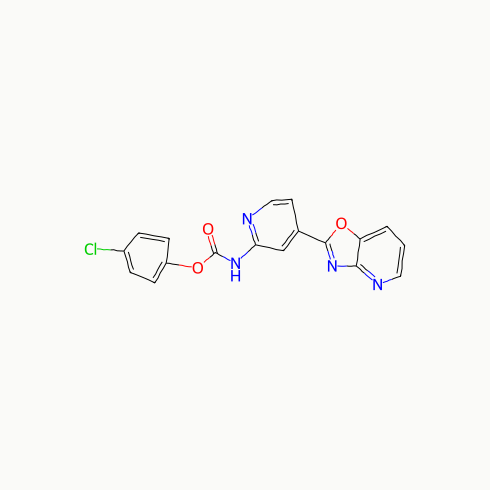 O=C(Nc1cc(-c2nc3ncccc3o2)ccn1)Oc1ccc(Cl)cc1